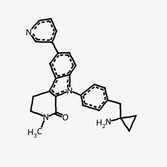 CN1CCc2c(n(-c3ccc(CC4(N)CC4)cc3)c3ccc(-c4cccnc4)cc23)C1=O